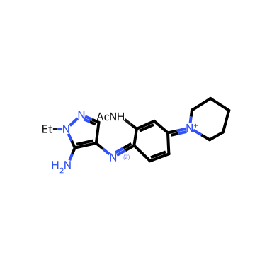 CCn1ncc(/N=C2/C=CC(=[N+]3CCCCC3)C=C2NC(C)=O)c1N